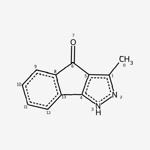 Cc1n[nH]c2c1C(=O)c1ccccc1-2